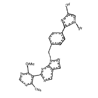 COc1ncnc(OC)c1-c1ncc2cnn(Cc3ccc(-c4nc(O)cn4C(C)C)cc3)c2n1